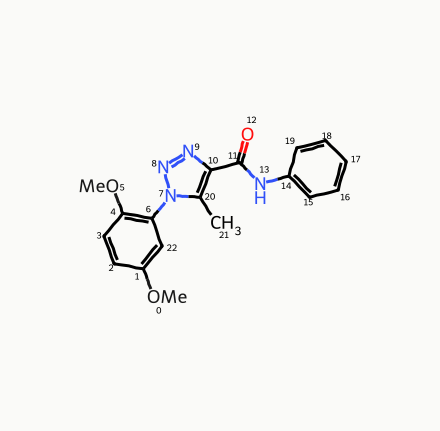 COc1ccc(OC)c(-n2nnc(C(=O)Nc3ccccc3)c2C)c1